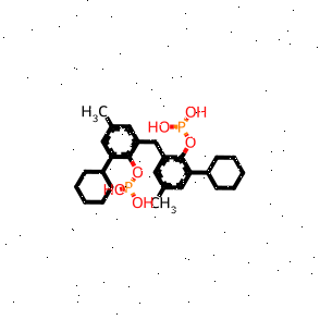 Cc1cc(Cc2cc(C)cc(C3CCCCC3)c2OP(O)O)c(OP(O)O)c(C2CCCCC2)c1